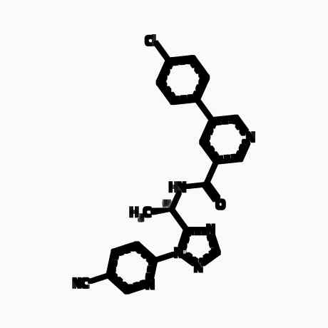 C[C@@H](NC(=O)c1cncc(-c2ccc(Cl)cc2)c1)c1ncnn1-c1ccc(C#N)cn1